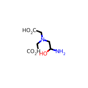 NC(O)CN(CC(=O)O)CC(=O)O